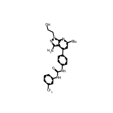 CC(C)(C)c1cc(-c2ccc(NC(=O)Nc3cccc(C(F)(F)F)c3)cc2)c2c(N)nn(CCO)c2n1